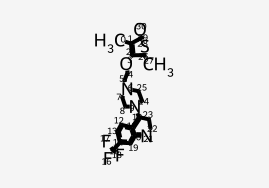 CC1=C(OCCN2CCN(C3=c4ccc(C(F)(F)F)cc4=NCC3)CC2)C(C)SC1=O